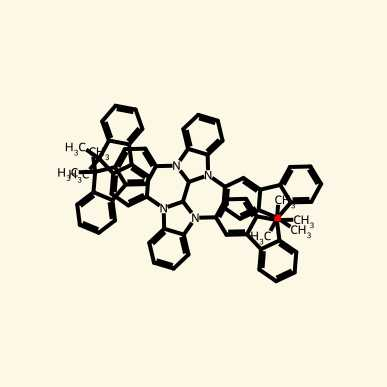 CC1(C)c2ccccc2-c2cc(N3c4ccccc4N(c4ccc5c(c4)-c4ccccc4C5(C)C)C3C3N(c4ccc5c(c4)-c4ccccc4C5(C)C)c4ccccc4N3c3ccc4c(c3)-c3ccccc3C4(C)C)ccc21